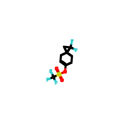 O=S(=O)(OC1=CCC2(CC1)CC2(F)F)C(F)(F)F